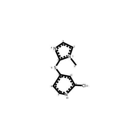 Cn1ccnc1Sc1ccnc(Cl)c1